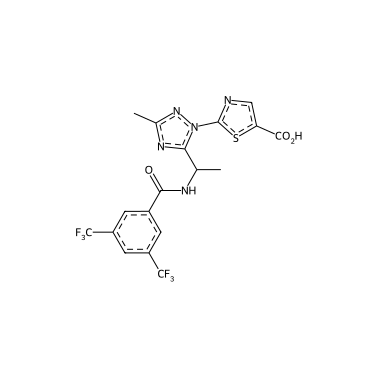 Cc1nc(C(C)NC(=O)c2cc(C(F)(F)F)cc(C(F)(F)F)c2)n(-c2ncc(C(=O)O)s2)n1